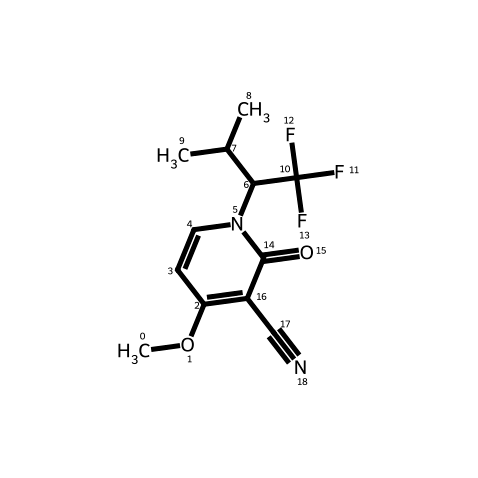 COc1ccn(C(C(C)C)C(F)(F)F)c(=O)c1C#N